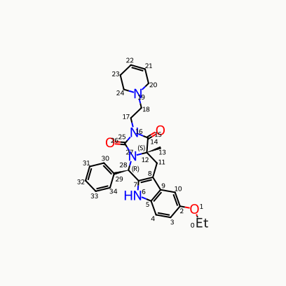 CCOc1ccc2[nH]c3c(c2c1)C[C@@]1(C)C(=O)N(CCN2CC=CCC2)C(=O)N1[C@@H]3c1ccccc1